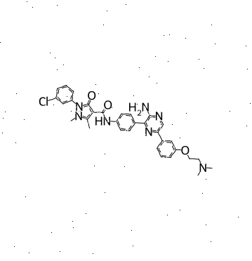 Cc1c(C(=O)Nc2ccc(-c3nc(-c4cccc(OCCN(C)C)c4)cnc3N)cc2)c(=O)n(-c2cccc(Cl)c2)n1C